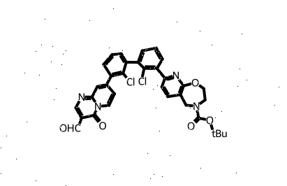 CC(C)(C)OC(=O)N1CCOc2nc(-c3cccc(-c4cccc(-c5ccn6c(=O)c(C=O)cnc6c5)c4Cl)c3Cl)ccc2C1